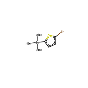 CCC[CH2][Sn]([CH2]CCC)([CH2]CCC)[c]1ccc(Br)s1